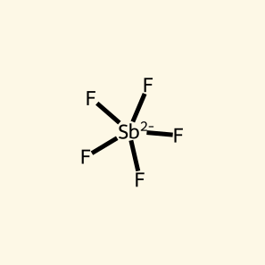 [F][Sb-2]([F])([F])([F])[F]